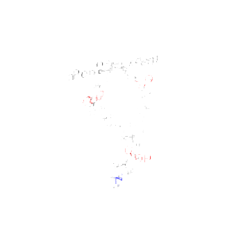 CCCCCC(CCCCC)CCOC(=O)CCCCCCCC(CCCCCCCC(=O)OCCC(CCCCC)CCCCC)COC(O)C1CCN(C)C1